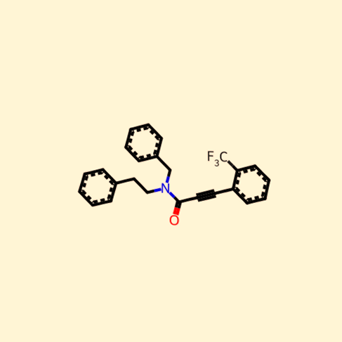 O=C(C#Cc1ccccc1C(F)(F)F)N(CCc1ccccc1)Cc1ccccc1